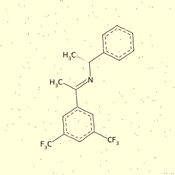 C/C(=N\[C@H](C)c1ccccc1)c1cc(C(F)(F)F)cc(C(F)(F)F)c1